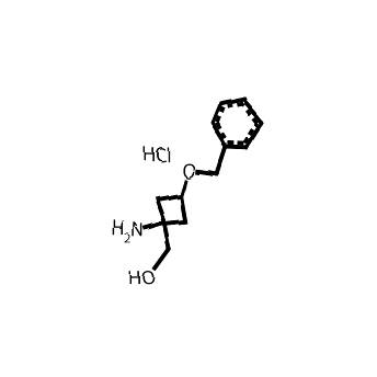 Cl.NC1(CO)CC(OCc2ccccc2)C1